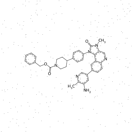 Cc1ncc(-c2ccc3ncc4c(c3c2)n(-c2ccc(C3CCN(C(=O)OCc5ccccc5)CC3)cc2)c(=O)n4C)cc1N